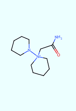 NC(=O)C[N+]1(N2CCCCC2)CCCCC1